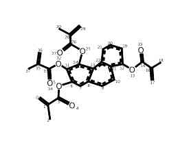 C=C(C)C(=O)Oc1cc2ccc3c(OC(=O)C(=C)C)cccc3c2c(OC(=O)C(=C)C)c1OC(=O)C(=C)C